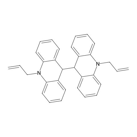 C=CCN1c2ccccc2C(C2c3ccccc3N(CC=C)c3ccccc32)c2ccccc21